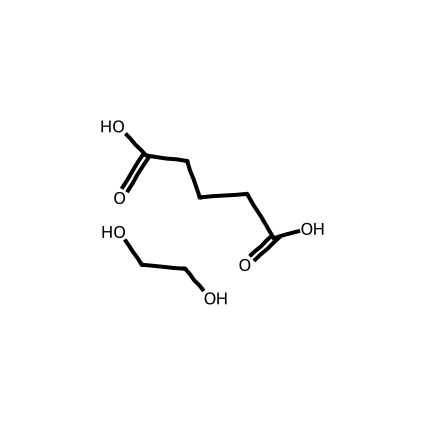 O=C(O)CCCC(=O)O.OCCO